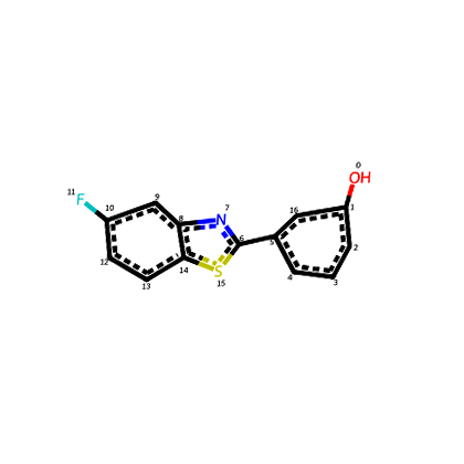 Oc1cccc(-c2nc3cc(F)ccc3s2)c1